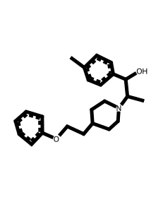 Cc1ccc(C(O)C(C)N2CCC(CCOc3ccccc3)CC2)cc1